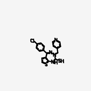 SC1Nc2sccc2C(c2ccc(Cl)cc2)=NN1Cc1ccncc1